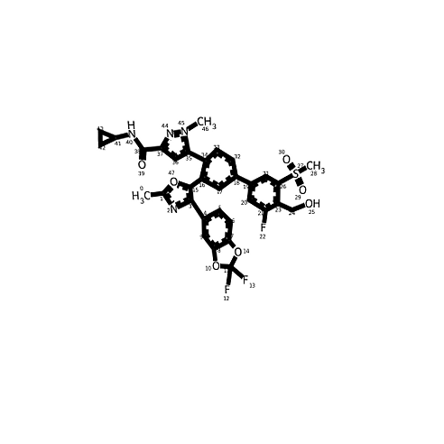 Cc1nc(-c2ccc3c(c2)OC(F)(F)O3)c(-c2cc(-c3cc(F)c(CO)c(S(C)(=O)=O)c3)ccc2-c2cc(C(=O)NC3CC3)nn2C)o1